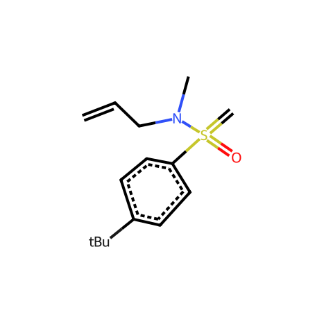 C=CCN(C)S(=C)(=O)c1ccc(C(C)(C)C)cc1